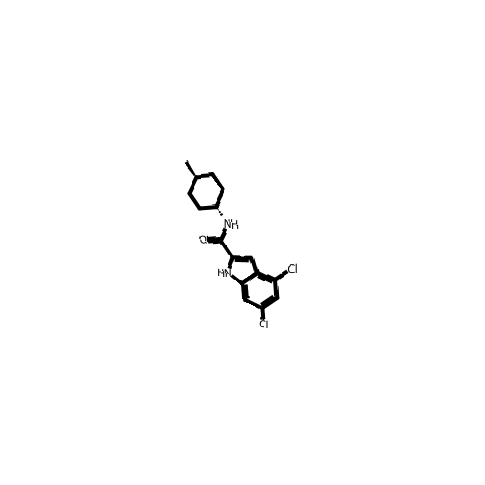 C[C@H]1CC[C@H](NC(=O)c2cc3c(Cl)cc(Cl)cc3[nH]2)CC1